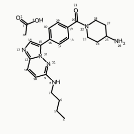 CC(=O)O.CCCCNc1ccc2ncc(-c3ccc(C(=O)N4CCC(N)CC4)cc3)n2n1